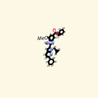 COc1cc(C(=O)N2CC3CCC2[C@@H]3C)cc2nc(-c3cc4ccc(C5CCCCC5)nc4n3CC3CC3)n(C)c12